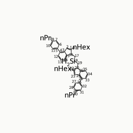 CCCCCCC1=Cc2c(-c3ccc(CCC)cc3)cccc2C1C[SiH2]CC1C(CCCCCC)=Cc2c(-c3ccc(CCC)cc3)cccc21